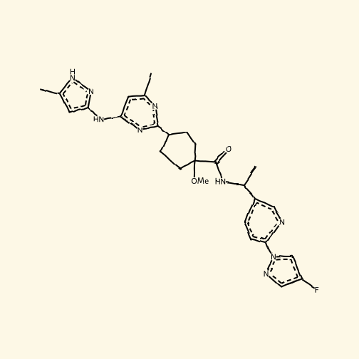 COC1(C(=O)NC(C)c2ccc(-n3cc(F)cn3)nc2)CCC(c2nc(C)cc(Nc3cc(C)[nH]n3)n2)CC1